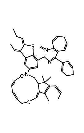 C=NC1=C(/C(=N\Cc2cc(N3C/C=C\C=C/CC/C=C4C(C)=C(/C=C\C)C(C)(C)C/4C3)cc3c(=C/C)/c(=C\CC)sc23)C2=CCCC=C2)C=CCC=C1